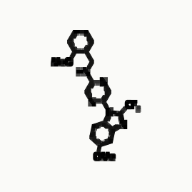 COc1ccc2c(c1)nc(C(F)(F)F)n2-c1cnc(NCc2ccccc2OC)cn1